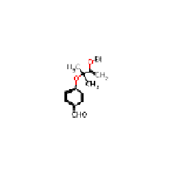 C=C(OCC)C(C)(C)Oc1ccc(C=O)cc1